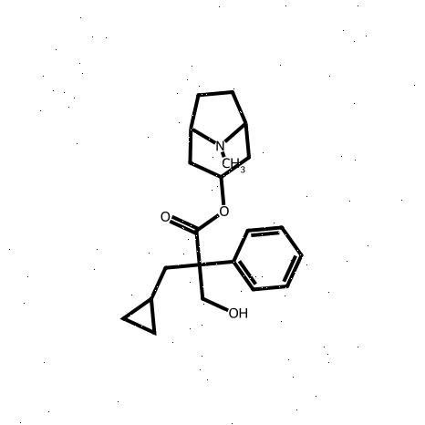 CN1C2CCC1CC(OC(=O)C(CO)(CC1CC1)c1ccccc1)C2